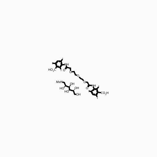 CNC[C@H](O)[C@@H](O)[C@H](O)[C@H](O)CO.O=C(COCCOCCOCC(=O)Nc1c(I)cc(I)c(C(=O)O)c1I)Nc1c(I)cc(I)c(C(=O)O)c1I